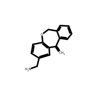 C=C1c2ccccc2COc2ccc(CN)cc21